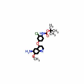 COc1cc2nccc(Oc3ccc(NC(=O)OC(C)(C)C)c(Cl)c3)c2cc1N